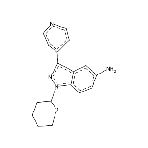 Nc1ccc2c(c1)c(-c1ccncc1)nn2C1CCCCO1